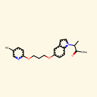 COC(=O)C(C)n1ccc2cc(OCCCOc3ccc(C#N)cn3)ccc21